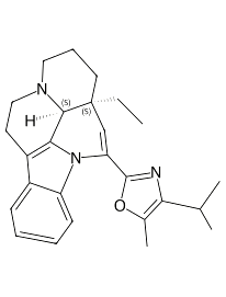 CC[C@@]12C=C(c3nc(C(C)C)c(C)o3)n3c4c(c5ccccc53)CCN(CCC1)[C@H]42